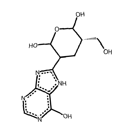 OC[C@@H]1CC(c2nc3ncnc(O)c3[nH]2)C(O)OC1O